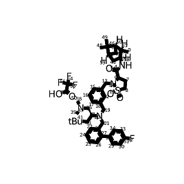 C[C@@H]1[C@@H](NC(=O)C2CCS(=O)(=O)N2Cc2cccc(CN(Cc3ccccc3-c3ccc(F)cc3)[C@H](CN(C)C)CC(C)(C)C)c2)C[C@H]2C[C@@H]1C2(C)C.O=C(O)C(F)(F)F